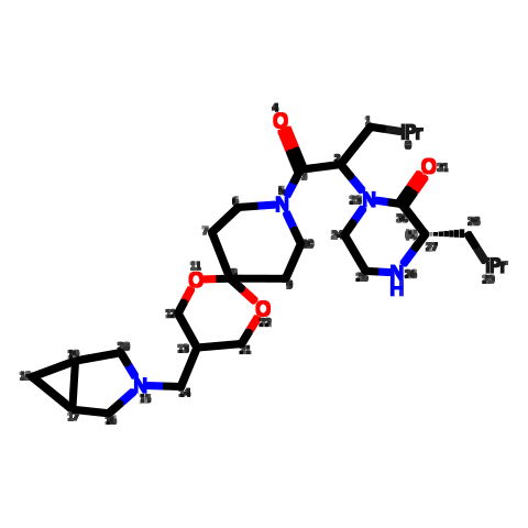 CC(C)CC(C(=O)N1CCC2(CC1)OCC(CN1CC3CC3C1)CO2)N1CCN[C@@H](CC(C)C)C1=O